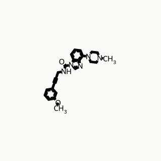 COc1cccc(C#CCNC(=O)n2cnc3c(N4CCN(C)CC4)cccc32)c1